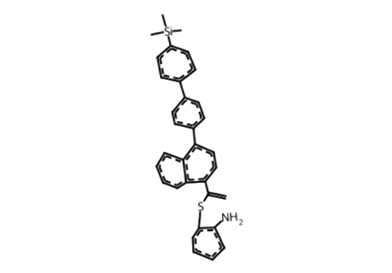 C=C(Sc1ccccc1N)c1ccc(-c2ccc(-c3ccc([Si](C)(C)C)cc3)cc2)c2ccccc12